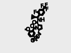 CC[C@@H]1CC[C@H](C(=O)NC(c2ccc(C(F)(F)F)cc2F)C2CC2)N1C(=O)c1cc(S(C)(=O)=O)ccc1OC